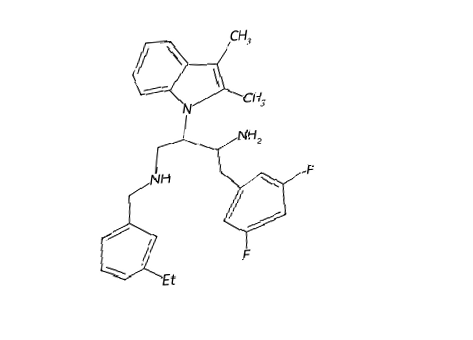 CCc1cccc(CNCC(C(N)Cc2cc(F)cc(F)c2)n2c(C)c(C)c3ccccc32)c1